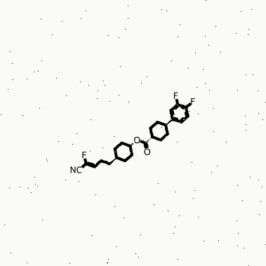 N#CC(F)=CCC[C@H]1CC[C@H](OC(=O)[C@H]2CC[C@H](c3ccc(F)c(F)c3)CC2)CC1